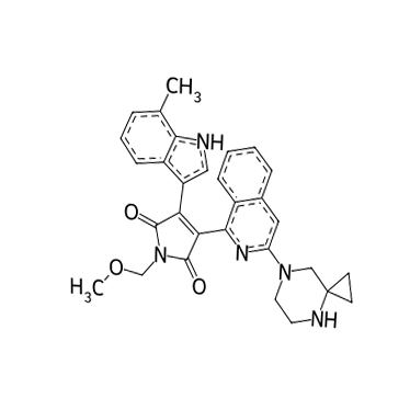 COCN1C(=O)C(c2nc(N3CCNC4(CC4)C3)cc3ccccc23)=C(c2c[nH]c3c(C)cccc23)C1=O